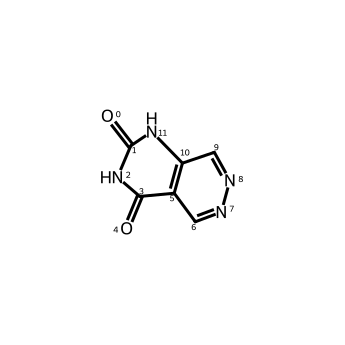 O=c1[nH]c(=O)c2cnncc2[nH]1